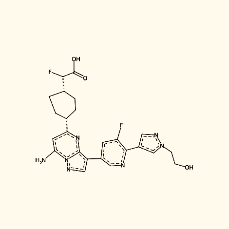 Nc1cc([C@H]2CC[C@@H](C(F)C(=O)O)CC2)nc2c(-c3cnc(-c4cnn(CCO)c4)c(F)c3)cnn12